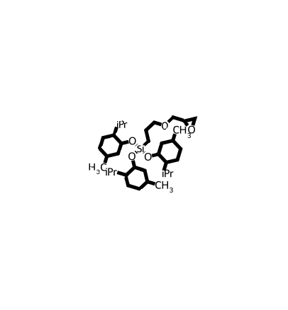 CC1CCC(C(C)C)C(O[Si](CCCOCC2CO2)(OC2CC(C)CCC2C(C)C)OC2CC(C)CCC2C(C)C)C1